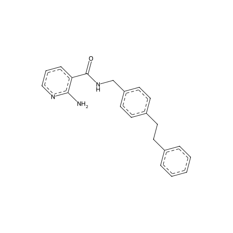 Nc1ncccc1C(=O)NCc1ccc(CCc2ccccc2)cc1